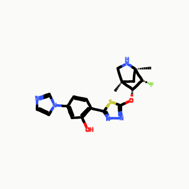 C[C@]12CN[C@](C)(C1)[C@H](F)[C@@H]2Oc1nnc(-c2ccc(-n3ccnc3)cc2O)s1